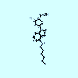 CCCCCCSc1ncnc2c1ncn2C1C[C@H](F)[C@@H](CO)O1